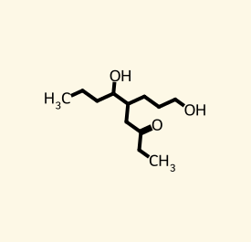 CCCC(O)C(CCCO)CC(=O)CC